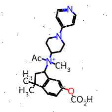 CC(=O)[N+](C)(C1CCN(c2ccncc2)CC1)C1CC(C)(C)c2ccc(OC(=O)O)cc21